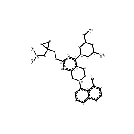 CCc1cccc2cccc(N3CCc4c(nc(OCC5(CN(C)C)CC5)nc4N4CC(C)CC(CO)C4)C3)c12